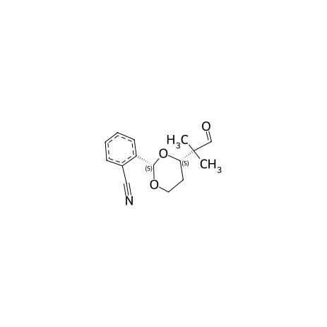 CC(C)(C=O)[C@@H]1CCO[C@H](c2ccccc2C#N)O1